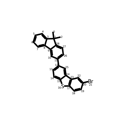 CC1(C)c2ccccc2-c2cc(-c3ccc4sc5ccc(Br)cc5c4c3)ccc21